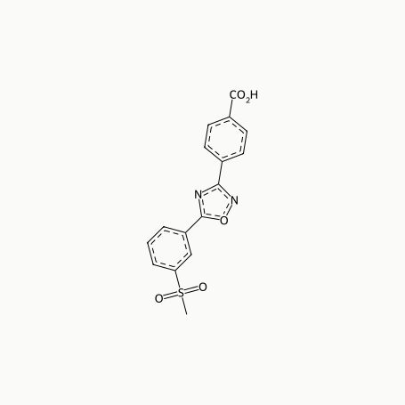 CS(=O)(=O)c1cccc(-c2nc(-c3ccc(C(=O)O)cc3)no2)c1